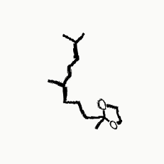 CC(C)=CCCC(C)=CCCC1(C)OCCO1